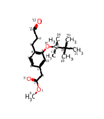 COC(=O)Cc1ccc(CCC=O)c(O[Si](C)(C)C(C)(C)C)c1